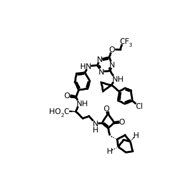 O=C(N[C@@H](CCNc1c(C[C@@H]2C[C@H]3CC[C@@H]2C3)c(=O)c1=O)C(=O)O)c1ccc(Nc2nc(NC3(c4ccc(Cl)cc4)CC3)nc(OCC(F)(F)F)n2)cc1